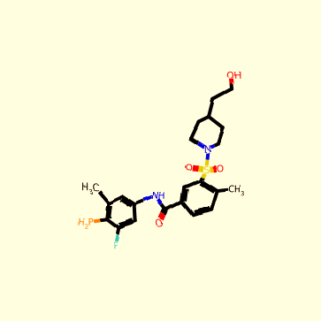 Cc1ccc(C(=O)Nc2cc(C)c(P)c(F)c2)cc1S(=O)(=O)N1CCC(CCO)CC1